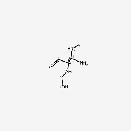 CN/C(N)=C(\C=O)NCO